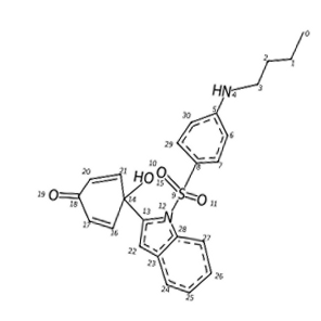 CCCCNc1ccc(S(=O)(=O)n2c(C3(O)C=CC(=O)C=C3)cc3ccccc32)cc1